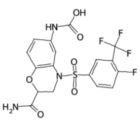 NC(=O)C1CN(S(=O)(=O)c2ccc(F)c(C(F)(F)F)c2)c2cc(NC(=O)O)ccc2O1